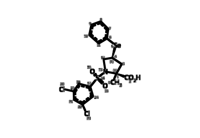 C[C@@]1(C(=O)O)C[C@H]([Se]c2ccccc2)CN1S(=O)(=O)c1cc(Cl)cc(Cl)c1